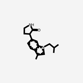 Cc1cn(CC(C)C)c2cc(C3CCNC3=O)ccc12